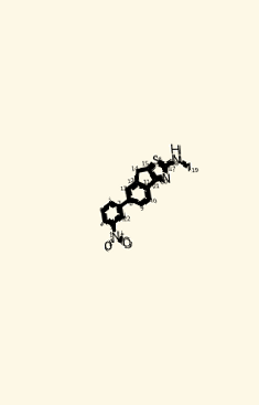 O=[N+]([O-])c1cccc(-c2ccc3c(c2)Cc2sc(NI)nc2-3)c1